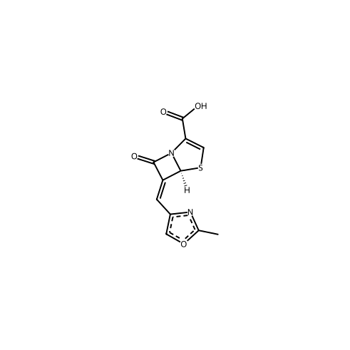 Cc1nc(/C=C2/C(=O)N3C(C(=O)O)=CS[C@@H]23)co1